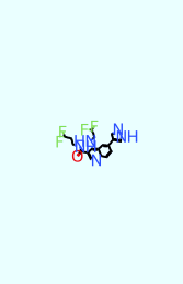 O=C(NCCC(F)F)c1cnc2ccc(-c3cn[nH]c3)cc2c1NCC(F)F